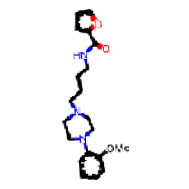 COc1ccccc1N1CCN(CCCCNC(=O)c2ccco2)CC1